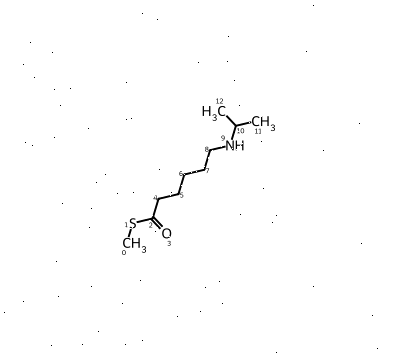 CSC(=O)CCCCCNC(C)C